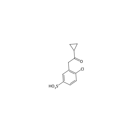 O=C(Cc1cc(S(=O)(=O)O)ccc1Cl)C1CC1